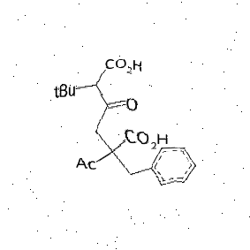 CC(=O)C(CC(=O)C(C(=O)O)C(C)(C)C)(Cc1ccccc1)C(=O)O